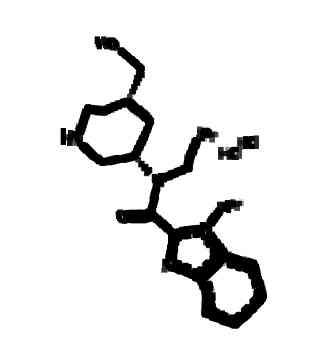 CCCn1c(C(=O)N(CC(C)C)[C@@H]2CNC[C@H](CO)C2)nc2ccccc21.Cl.Cl